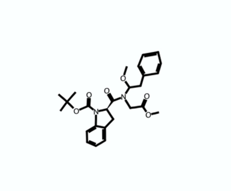 COC(=O)CN(C(=O)[C@H]1Cc2ccccc2N1C(=O)OC(C)(C)C)C(Cc1ccccc1)OC